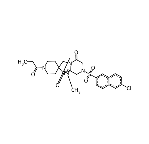 CCC(=O)N1CCC2(CC1)CN1C(=O)CN(S(=O)(=O)c3ccc4cc(Cl)ccc4c3)CC13CN(C)C(=O)N23